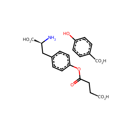 N[C@@H](Cc1ccc(OC(=O)CCC(=O)O)cc1)C(=O)O.O=C(O)c1ccc(O)cc1